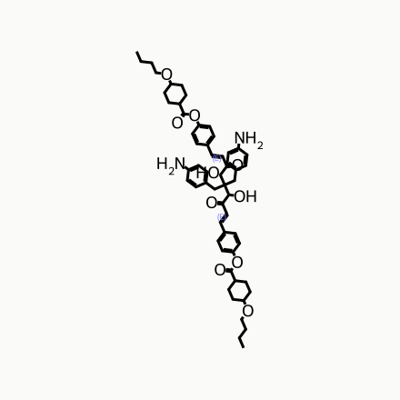 CCCCOC1CCC(C(=O)Oc2ccc(/C=C/C(=O)C(O)C(Cc3ccc(N)cc3)(Cc3ccc(N)cc3)C(O)C(=O)/C=C/c3ccc(OC(=O)C4CCC(OCCCC)CC4)cc3)cc2)CC1